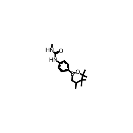 CNC(=O)Nc1ccc(B2CC(C)C(C)(C)C(C)(C)O2)cc1